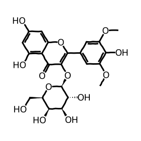 COc1cc(-c2oc3cc(O)cc(O)c3c(=O)c2O[C@@H]2O[C@H](CO)[C@H](O)[C@H](O)[C@H]2O)cc(OC)c1O